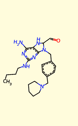 CCCCNc1nc(N)c2c(n1)N(Cc1ccc(CN3CCCCC3)cc1)C(C=O)N2